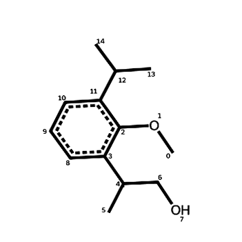 COc1c([C](C)CO)cccc1C(C)C